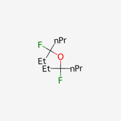 CCCC(F)(CC)OC(F)(CC)CCC